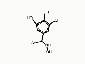 CC(=O)C(NO)c1cc(O)c(O)c(Cl)c1